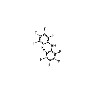 Fc1c(F)c(F)c(Bc2c(F)c(F)c(F)c(F)c2F)c(F)c1F